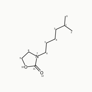 CC(C)CCCCN1CCOC1=O